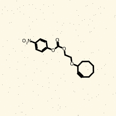 O=C(OCCOC1C#CCCCCC1)Oc1ccc([N+](=O)[O-])cc1